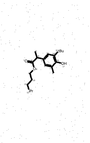 Cc1cc(C(C)C(=O)OCCCC(C)C)cc(C(C)(C)C)c1O